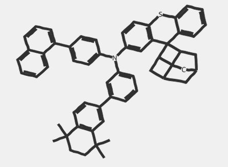 CC1(C)CCC(C)(C)c2cc(-c3cccc(N(c4ccc(-c5cccc6ccccc56)cc4)c4ccc5c(c4)C4(c6ccccc6S5)C5CC6CC7CC4C75C6)c3)ccc21